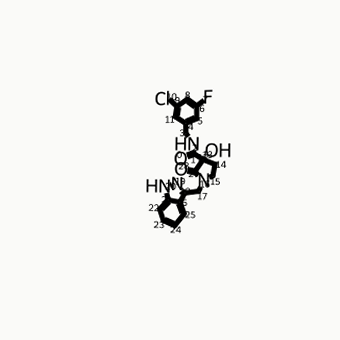 O=C(NCc1cc(F)cc(Cl)c1)C1(O)CCN(Cc2n[nH]c3ccccc23)C1=O